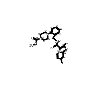 Cc1ccn2c(C(=O)NCc3ccccc3N3CCN(C(=O)OC(C)(C)C)CC3)c(C)nc2c1